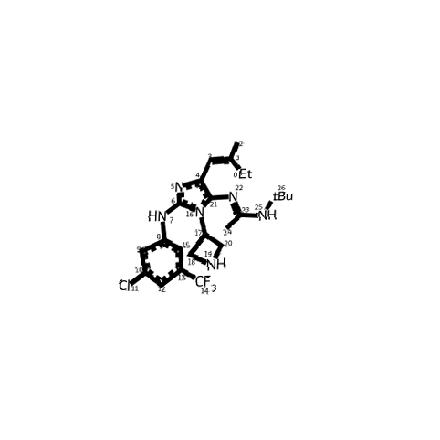 CC/C(C)=C\c1nc(Nc2cc(Cl)cc(C(F)(F)F)c2)n(C2CNC2)c1/N=C(\C)NC(C)(C)C